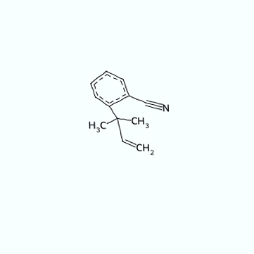 C=CC(C)(C)c1ccccc1C#N